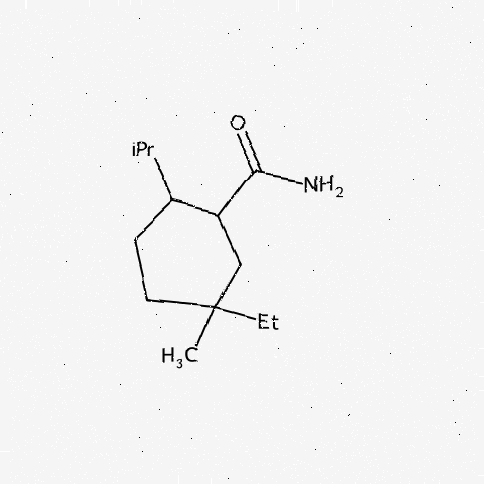 CCC1(C)CCC(C(C)C)C(C(N)=O)C1